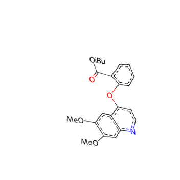 COc1cc2nccc(Oc3ccccc3C(=O)OCC(C)C)c2cc1OC